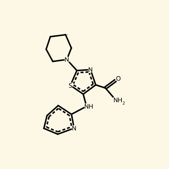 NC(=O)c1nc(N2C[CH]CCC2)sc1Nc1ccccn1